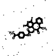 CC(=O)c1ccc(NC(=O)CN2C(=O)C(C)c3ncccc3-c3c2cc(F)nc3F)cc1